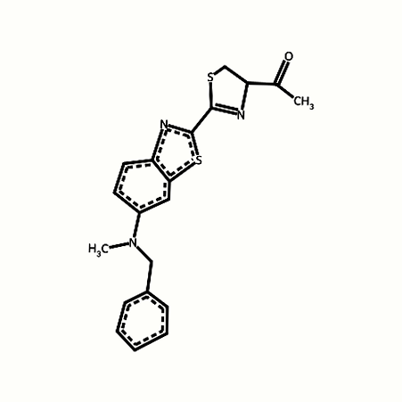 CC(=O)C1CSC(c2nc3ccc(N(C)Cc4ccccc4)cc3s2)=N1